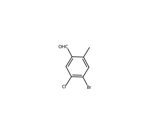 Cc1cc(Br)c(Cl)cc1C=O